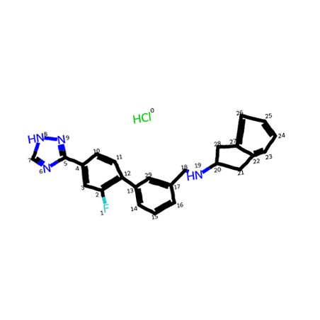 Cl.Fc1cc(-c2nc[nH]n2)ccc1-c1cccc(CNC2Cc3ccccc3C2)c1